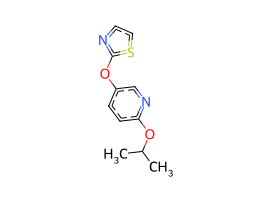 CC(C)Oc1ccc(Oc2nccs2)cn1